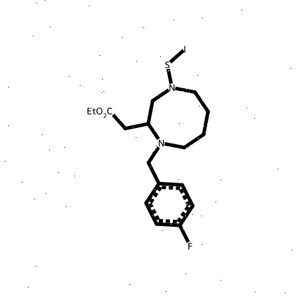 CCOC(=O)CC1CN(SI)CCCCN1Cc1ccc(F)cc1